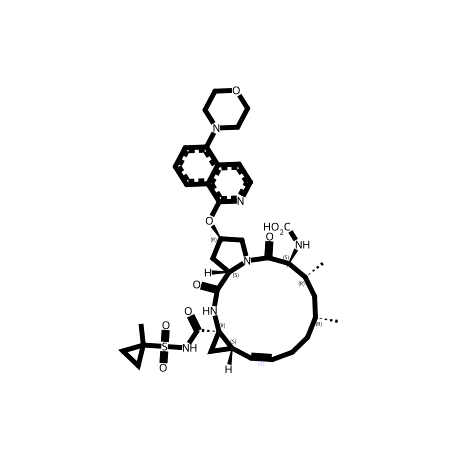 C[C@@H]1CC/C=C\[C@@H]2C[C@@]2(C(=O)NS(=O)(=O)C2(C)CC2)NC(=O)[C@@H]2C[C@@H](Oc3nccc4c(N5CCOCC5)cccc34)CN2C(=O)[C@@H](NC(=O)O)[C@H](C)C1